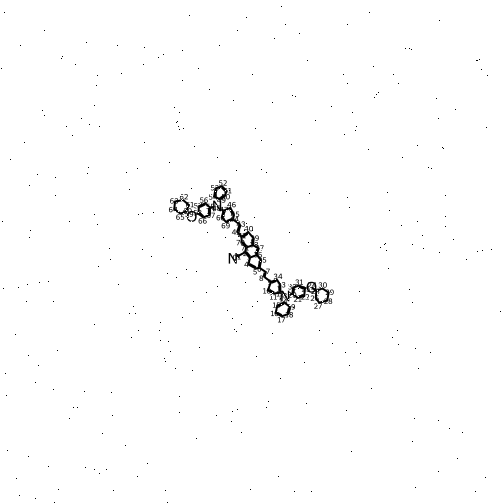 N#Cc1c2ccc(C=Cc3ccc(N(c4ccccc4)c4ccc(OC5CCCCC5)cc4)cc3)cc2cc2ccc(C=Cc3ccc(N(c4ccccc4)c4ccc(OC5CCCCC5)cc4)cc3)cc12